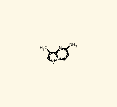 Cc1cnn2ccc(N)nc12